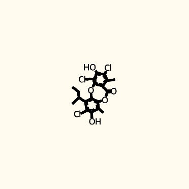 CCC(C)c1c(Cl)c(O)c(C)c2c1Oc1c(Cl)c(O)c(Cl)c(C)c1C(=O)O2